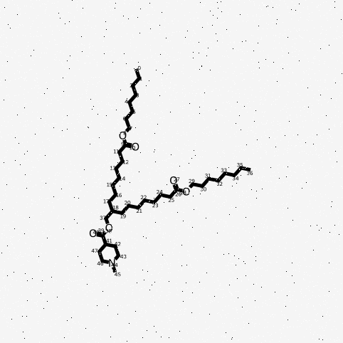 CCCCCCCCOC(=O)CCCCCCCC(CCCCCCCC(=O)OCCCCCCCC)COC(=O)C1CCN(C)CC1